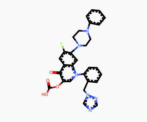 O=C(O)Oc1cn(-c2ccccc2Cn2cncn2)c2cc(N3CCN(c4ccccc4)CC3)c(F)cc2c1=O